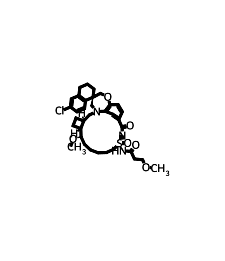 COCCC(=O)N[S@@]1(=O)=NC(=O)c2ccc3c(c2)N(C[C@@H]2CC[C@H]2[C@@H](OC)CCCCC1)C[C@@]1(CCCc2cc(Cl)ccc21)CO3